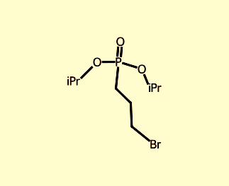 CC(C)OP(=O)(CCCBr)OC(C)C